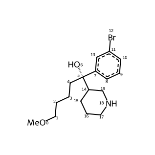 COCCCC[C@@](O)(c1cccc(Br)c1)C1CCCNC1